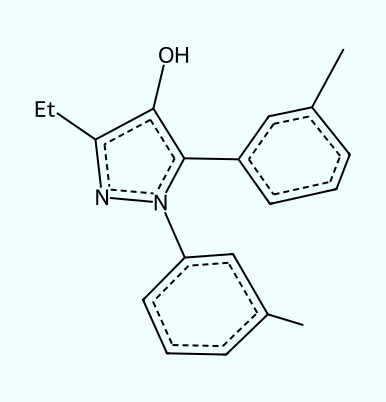 CCc1nn(-c2cccc(C)c2)c(-c2cccc(C)c2)c1O